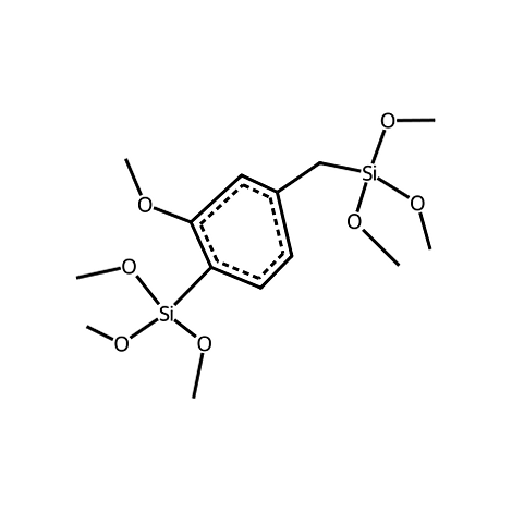 COc1cc(C[Si](OC)(OC)OC)ccc1[Si](OC)(OC)OC